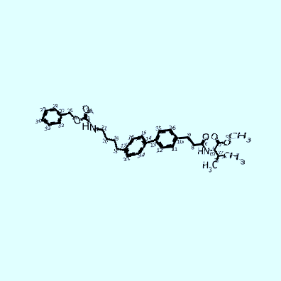 COC(=O)[C@@H](NC(=O)CCc1ccc(-c2ccc(CCCCNC(=O)OCc3ccccc3)cc2)cc1)C(C)C